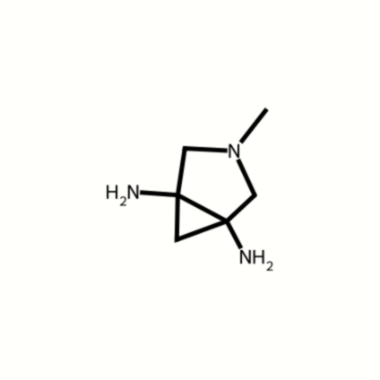 CN1CC2(N)CC2(N)C1